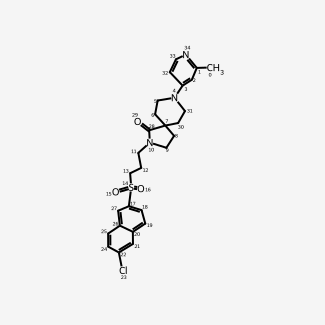 Cc1cc(N2CCC3(CCN(CCCS(=O)(=O)c4ccc5cc(Cl)ccc5c4)C3=O)CC2)ccn1